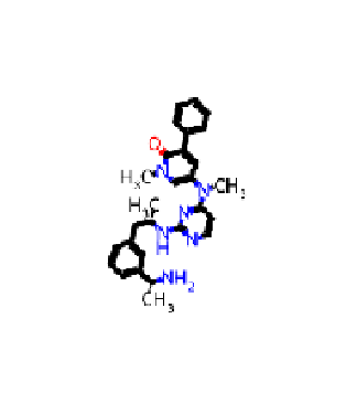 C[C@@H](Cc1cccc([C@@H](C)N)c1)Nc1nccc(N(C)c2cc(-c3ccccc3)c(=O)n(C)c2)n1